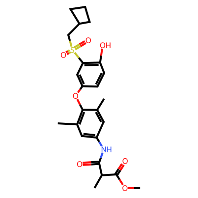 COC(=O)C(C)C(=O)Nc1cc(C)c(Oc2ccc(O)c(S(=O)(=O)CC3CCC3)c2)c(C)c1